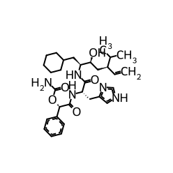 C=C[C@@H](C[C@H](O)[C@H](CC1CCCCC1)NC(=O)[C@H](Cc1c[nH]cn1)NC(=O)[C@@H](OC(N)=O)c1ccccc1)C(C)C